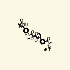 CCCCOCN(C)C(=O)c1cccc(N2CCO[C@H]([C@@H](O)C(=O)Nc3ccc(-c4noc(=O)[nH]4)cc3)C2=O)c1